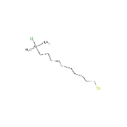 C[Si](C)(Cl)CCCCCCCCCCS